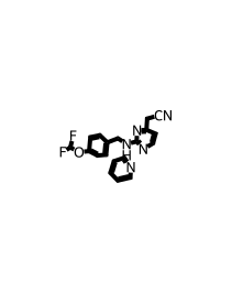 N#CCc1ccnc(NCc2ccc(OC(F)F)cc2)n1.c1ccncc1